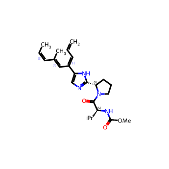 C=C\C=C(/C=C(C)/C=C\C)c1cnc([C@@H]2CCCN2C(=O)[C@@H](NC(=O)OC)C(C)C)[nH]1